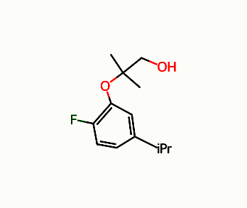 CC(C)c1ccc(F)c(OC(C)(C)CO)c1